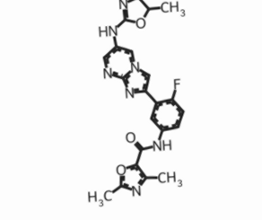 Cc1nc(C)c(C(=O)Nc2ccc(F)c(-c3cn4cc(NC5=NCC(C)O5)cnc4n3)c2)o1